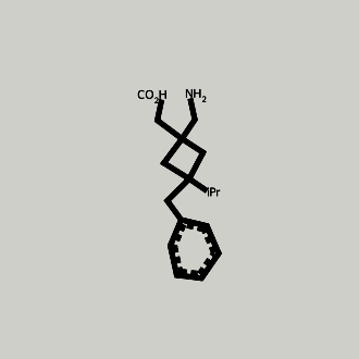 CC(C)C1(Cc2ccccc2)CC(CN)(CC(=O)O)C1